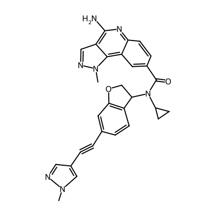 Cn1cc(C#Cc2ccc3c(c2)OCC3N(C(=O)c2ccc3nc(N)c4cnn(C)c4c3c2)C2CC2)cn1